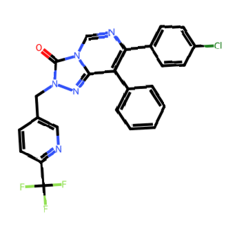 O=c1n(Cc2ccc(C(F)(F)F)nc2)nc2c(-c3ccccc3)c(-c3ccc(Cl)cc3)ncn12